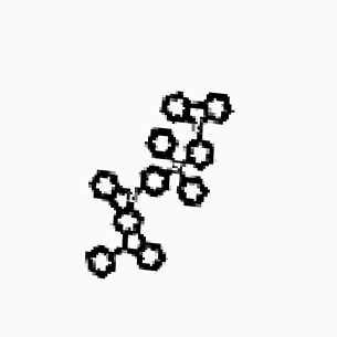 c1ccc(C2c3ccccc3-c3cc4c(cc32)c2ccccc2n4-c2ccc([Si](c3ccccc3)(c3ccccc3)c3cccc(-n4c5ccccc5c5ccccc54)c3)cc2)cc1